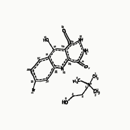 C[N+](C)(C)CCO.O=c1[nH][nH]c(=O)c2c(O)c3ccc(Br)cc3nc12